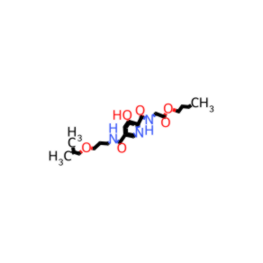 CCCCOC(=O)CNC(=O)c1ncc(C(=O)NCCCOCC(C)C)cc1O